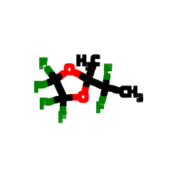 CC(F)(F)C1(C)OC(F)(F)C(F)(F)O1